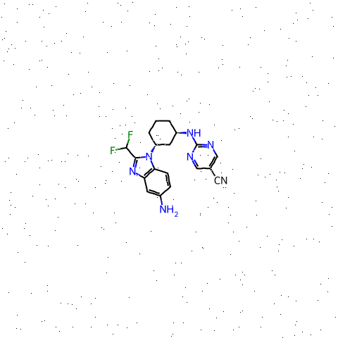 N#Cc1cnc(N[C@@H]2CCC[C@H](n3c(C(F)F)nc4cc(N)ccc43)C2)nc1